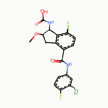 COC1Cc2c(C(=O)Nc3ccc(F)c(Cl)c3)ccc(F)c2C1NC(=O)O